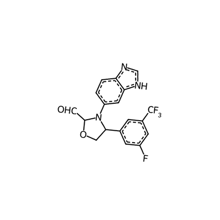 O=CC1OCC(c2cc(F)cc(C(F)(F)F)c2)N1c1ccc2nc[nH]c2c1